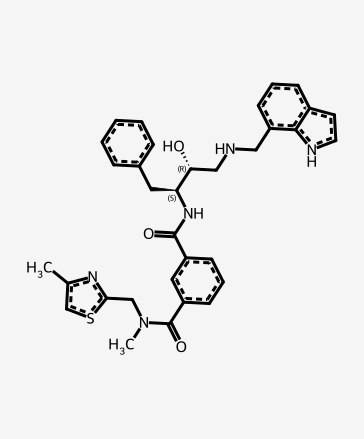 Cc1csc(CN(C)C(=O)c2cccc(C(=O)N[C@@H](Cc3ccccc3)[C@H](O)CNCc3cccc4cc[nH]c34)c2)n1